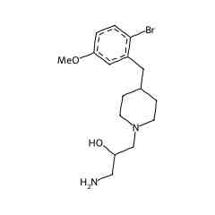 COc1ccc(Br)c(CC2CCN(CC(O)CN)CC2)c1